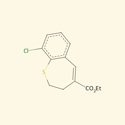 CCOC(=O)C1=Cc2cccc(Cl)c2SCC1